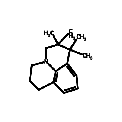 CC1(C)CN2CCCc3cccc(c32)C1(C)C